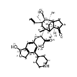 C=C[C@]1(C)C[C@@H](C(Oc2cc3c(c(C4CCNCC4)c2)COB3O)C(=O)O)[C@@]2(C)[C@H](C)CC[C@]3(CCC(=O)[C@H]32)[C@@H](C)[C@@H]1O